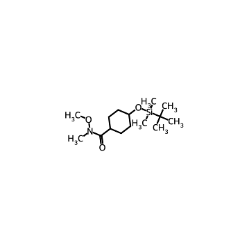 CON(C)C(=O)C1CCC(O[Si](C)(C)C(C)(C)C)CC1